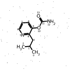 CC(C)Cc1ncccc1OC(N)=O